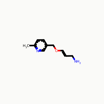 Cc1ccc(COC=CCN)cn1